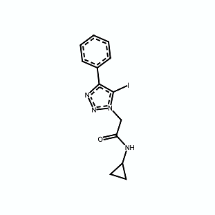 O=C(Cn1nnc(-c2ccccc2)c1I)NC1CC1